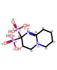 O=P(O)(O)C1(P(=O)(O)O)CCN2CCCCC2=N1